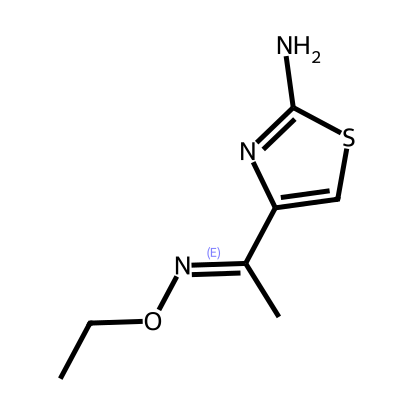 CCO/N=C(\C)c1csc(N)n1